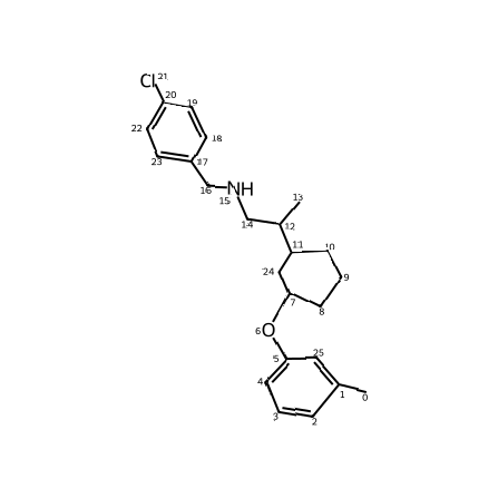 Cc1cccc(OC2CCCC(C(C)CNCc3ccc(Cl)cc3)C2)c1